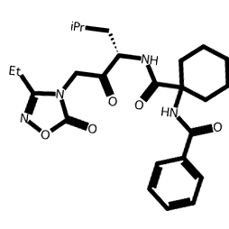 CCc1noc(=O)n1CC(=O)[C@H](CC(C)C)NC(=O)C1(NC(=O)c2ccccc2)CCCCC1